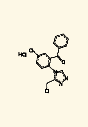 Cl.O=C(c1ccccc1)c1cc(Cl)ccc1-n1cnnc1CCl